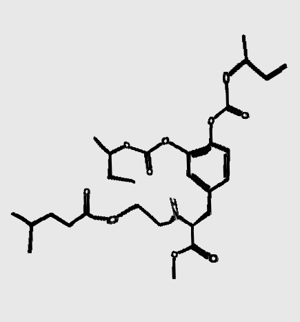 CCC(C)OC(=O)Oc1ccc(C[C@H](NCCOC(=O)CCC(C)C)C(=O)OC)cc1OC(=O)OC(C)CC